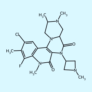 Cc1c(Cl)cc2c3c(c(=O)n(C)c2c1F)N(C1CN(C)C1)C(=O)C1CN(C)C(C)CN31